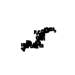 CC[C@@H]1CN(C(=O)Nc2cnc(OC3CCN(C)CC3)c(C(F)(F)F)c2)Cc2cc(Oc3ccnc4[nH]c(C5CC5)cc34)cnc21